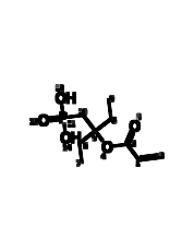 C=CC(=O)OC(CC)(CC)CP(=O)(O)O